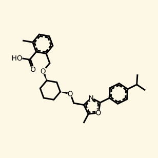 Cc1cccc(CO[C@@H]2CCC[C@H](OCc3nc(-c4ccc(C(C)C)cc4)oc3C)C2)c1C(=O)O